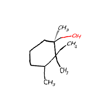 CC1CCC[C@@](C)(O)C1(C)C